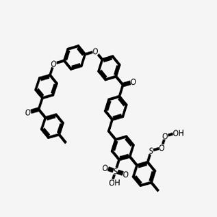 Cc1ccc(C(=O)c2ccc(Oc3ccc(Oc4ccc(C(=O)c5ccc(Cc6ccc(-c7ccc(C)cc7SOOO)c(S(=O)(=O)O)c6)cc5)cc4)cc3)cc2)cc1